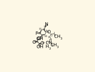 CCC(CCN(C)C)Oc1cc(Cl)c(F)cc1C#N.O=C(O)C(=O)O